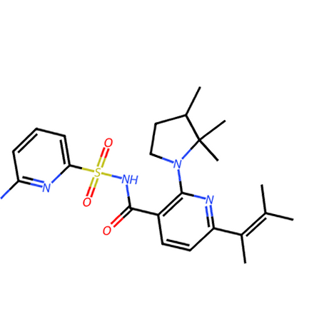 CC(C)=C(C)c1ccc(C(=O)NS(=O)(=O)c2cccc(N)n2)c(N2CCC(C)C2(C)C)n1